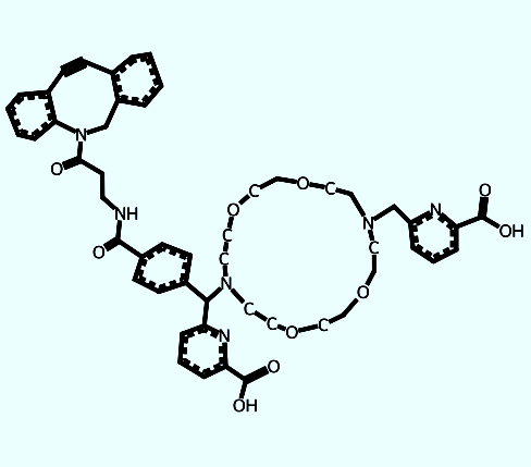 O=C(NCCC(=O)N1Cc2ccccc2C#Cc2ccccc21)c1ccc(C(c2cccc(C(=O)O)n2)N2CCOCCOCCN(Cc3cccc(C(=O)O)n3)CCOCCOCC2)cc1